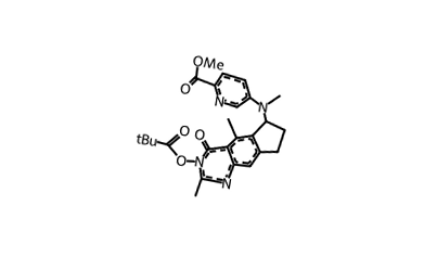 COC(=O)c1ccc(N(C)C2CCc3cc4nc(C)n(OC(=O)C(C)(C)C)c(=O)c4c(C)c32)cn1